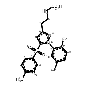 Cc1ccc(S(=O)(=O)c2cc(CCNC(=O)O)nn2-c2cc(F)ccc2F)cn1